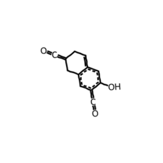 O=C=C1CC=c2cc(O)c(=C=O)cc2C1